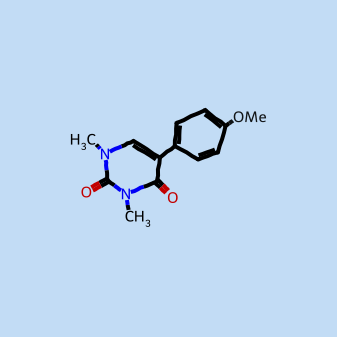 COc1ccc(-c2cn(C)c(=O)n(C)c2=O)cc1